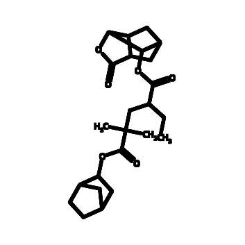 CCC(CC(C)(C)C(=O)OC1CC2CCC1C2)C(=O)OC1C2CC3C(=O)OC1C3C2